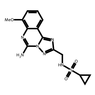 COc1cccc2c1nc(N)n1nc(CNS(=O)(=O)C3CC3)nc21